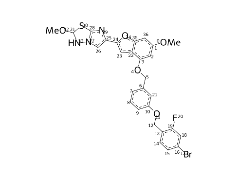 COc1cc(OCc2cccc(OCc3ccc(Br)cc3F)c2)c2cc(-c3cn4c(n3)SC(OC)N4)oc2c1